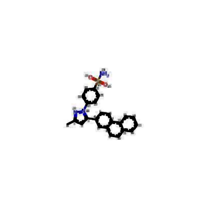 Cc1cc(-c2ccc3c(ccc4ccccc43)c2)n(-c2ccc(S(N)(=O)=O)cc2)n1